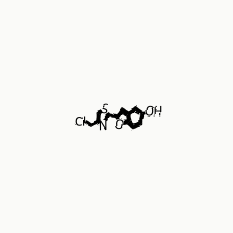 Oc1ccc2oc(-c3nc(CCl)cs3)cc2c1